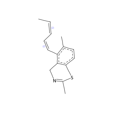 C/C=C\C=C/c1c(C)ccc2c1CN=C(C)S2